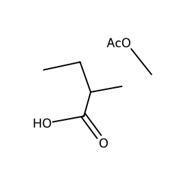 CCC(C)C(=O)O.COC(C)=O